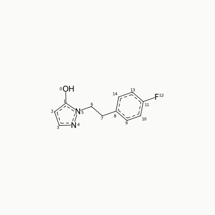 Oc1ccnn1CCc1ccc(F)cc1